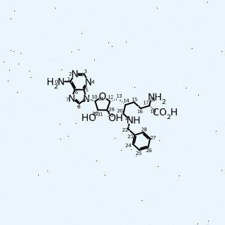 Nc1ncnc2c1ncn2[C@@H]1O[C@H](C[C@H](CC[C@H](N)C(=O)O)CNCc2ccccc2)C(O)[C@@H]1O